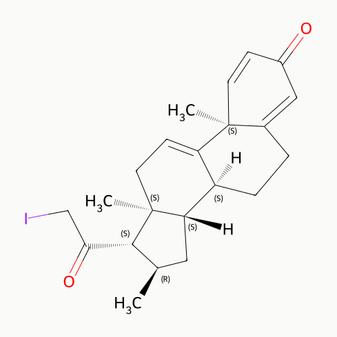 C[C@@H]1C[C@H]2[C@@H]3CCC4=CC(=O)C=C[C@]4(C)C3=CC[C@]2(C)[C@H]1C(=O)CI